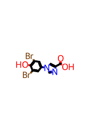 O=C(O)c1cn(-c2cc(Br)c(O)c(Br)c2)cn1